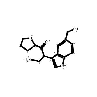 NCC(C(=O)C1CCCO1)c1c[nH]c2ccc(CO)cc12